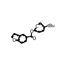 CC(C)(C)c1ccc(OC(=O)c2ccc3occc3c2)cc1